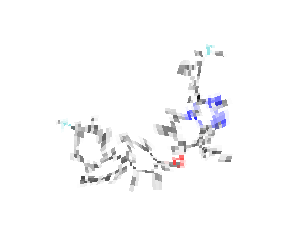 COC1(c2ccc(F)cc2)CCC(Oc2ccn3c([C@H]4C[C@@H]4F)nnc3c2C(F)(F)F)CC1